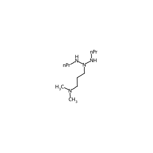 CCCNN(CCCN(C)C)NCCC